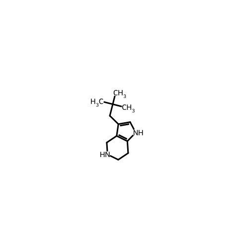 CC(C)(C)Cc1c[nH]c2c1CNCC2